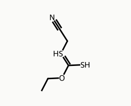 CCOC(S)=[SH]CC#N